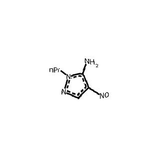 CCCn1ncc(N=O)c1N